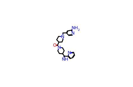 N=C(c1ccccn1)C1CCN(C(=O)C2CCN(Cc3ccnc(N)c3)CC2)CC1